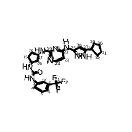 O=C(Nc1cccc(C(F)(F)F)c1)N[C@@H]1CC[C@@H](Nc2nccc(Nc3cc(C4CCCC4)[nH]n3)n2)C1